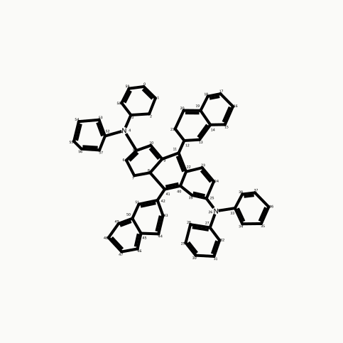 C1=CCC(N(C2=CCC3C(=C2)C(C2C=c4ccccc4=CC2)=c2ccc(N(c4ccccc4)c4ccccc4)cc2=C3c2ccc3ccccc3c2)c2ccccc2)C=C1